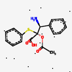 CC(=O)O[C@@](Sc1ccccc1)(C(=O)O)[C@@H](N)c1ccccc1